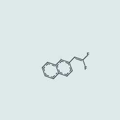 FC(F)=Cc1[c]c2ccccc2cc1